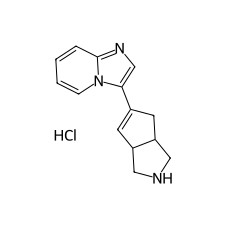 C1=C(c2cnc3ccccn23)CC2CNCC12.Cl